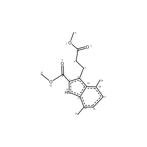 COC(=O)CCc1c(C(=O)OC)[nH]c2c(C)ccc(C)c12